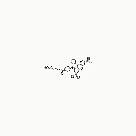 CCN(CC)c1ccc2c(-c3ccccc3C(=O)N3CCN(C(=O)CCCCC(=O)O)CC3)c3ccc(=[N+](CC)CC)cc-3oc2c1